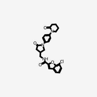 O=C(NCC1CC(=O)N(c2ccc(N3CCCCC3=O)cc2)C1)c1cc2cccc(Cl)c2o1